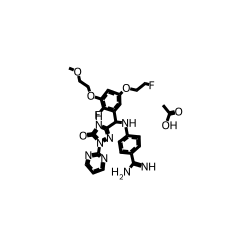 CC(=O)O.COCCOc1cc(OCCF)cc(C(Nc2ccc(C(=N)N)cc2)c2nn(-c3ncccn3)c(=O)[nH]2)c1F